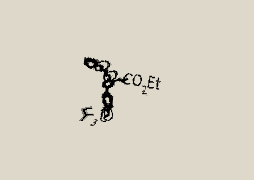 CCOC(=O)CCc1cc(-c2ccc(OC(F)(F)F)cc2)ccc1OCCCOc1ccccc1